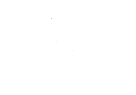 CC(C)(C)O[C@H]1C[C@H](CN2CC3(CN(CC4CCN(C(C)(C)C)CC4)C3)C2)C1